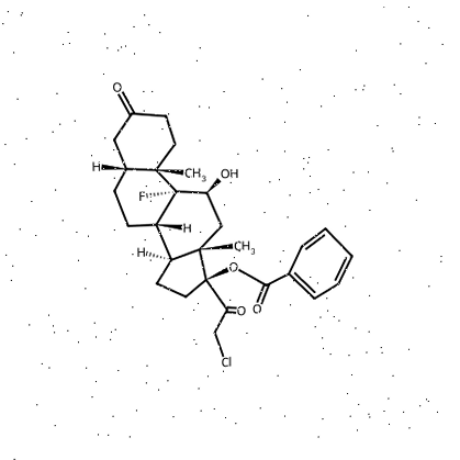 C[C@]12CCC(=O)C[C@H]1CC[C@H]1[C@@H]3CC[C@@](OC(=O)c4ccccc4)(C(=O)CCl)[C@@]3(C)C[C@H](O)[C@@]12F